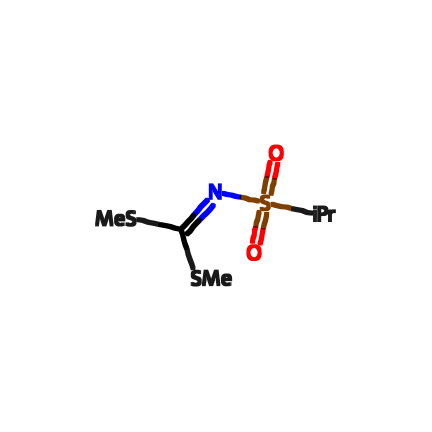 CSC(=NS(=O)(=O)C(C)C)SC